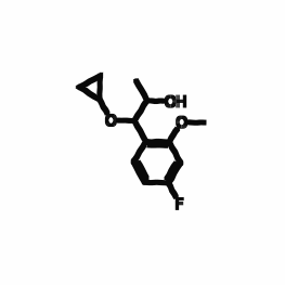 COc1cc(F)ccc1C(OC1CC1)C(C)O